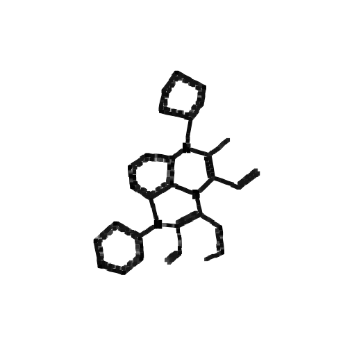 C=CC1=C(C)N(c2ccccc2)c2cccc3c2B1C(/C=C\C)=C(C=C)N3c1ccccc1